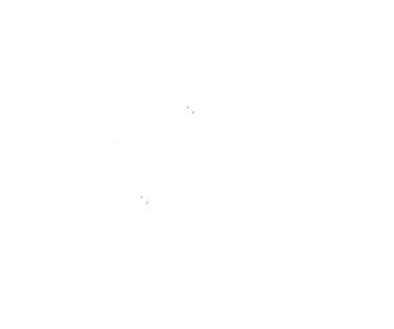 Nc1c(C=O)ccnc1Br